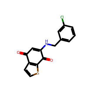 O=C1C=C(NCc2cccc(Cl)c2)C(=O)c2sccc21